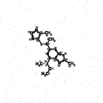 CO[C@H](C)c1cc(N(C)Cc2nonc2C)cn2cc(C)nc12